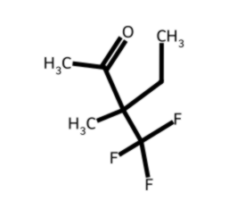 CCC(C)(C(C)=O)C(F)(F)F